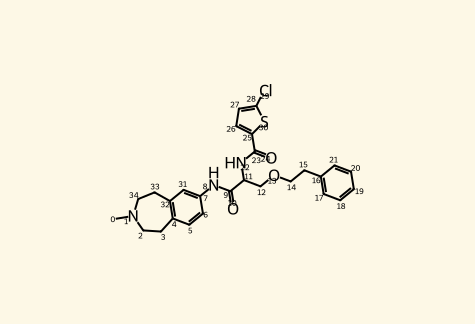 CN1CCc2ccc(NC(=O)C(COCCc3ccccc3)NC(=O)c3ccc(Cl)s3)cc2CC1